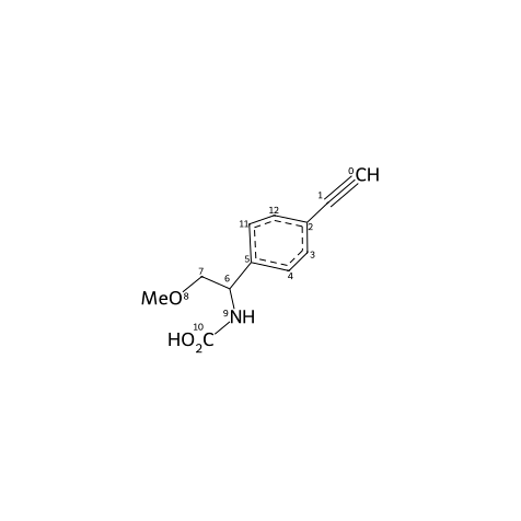 C#Cc1ccc(C(COC)NC(=O)O)cc1